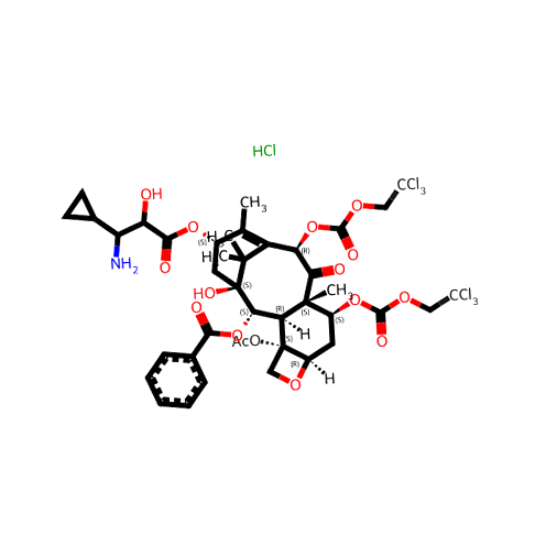 CC(=O)O[C@@]12CO[C@@H]1C[C@H](OC(=O)OCC(Cl)(Cl)Cl)[C@@]1(C)C(=O)[C@H](OC(=O)OCC(Cl)(Cl)Cl)C3=C(C)[C@@H](OC(=O)C(O)C(N)C4CC4)C[C@@](O)([C@@H](OC(=O)c4ccccc4)[C@H]21)C3(C)C.Cl